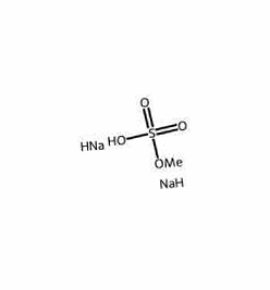 COS(=O)(=O)O.[NaH].[NaH]